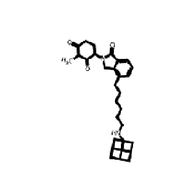 CC1C(=O)CCC(N2Cc3c(CCCCCCNC45CC6CC7CC(C4)C765)cccc3C2=O)C1=O